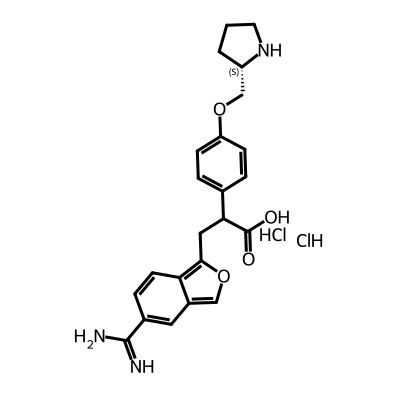 Cl.Cl.N=C(N)c1ccc2c(CC(C(=O)O)c3ccc(OC[C@@H]4CCCN4)cc3)occ2c1